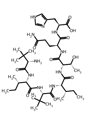 CC[C@H](C)[C@H](NC(=O)[C@@H](N)C(C)(C)C)C(=O)N[C@H](C(=O)N[C@H](C(=O)N[C@H](C(=O)N[C@@H](CCC(N)=O)C(=O)N[C@@H](Cc1c[nH]cn1)C(=O)O)[C@@H](C)O)[C@@H](C)CC)C(C)(C)C